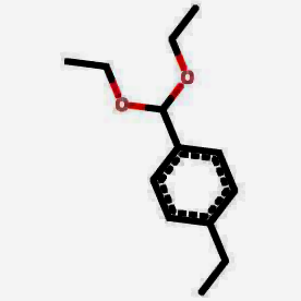 CCOC(OCC)c1ccc(CC)cc1